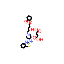 COc1ccccc1OCCCCCN1CCC(N(C)C2=Nc3ccccc3CS2)CC1.O=C(O)C=CC(=O)O